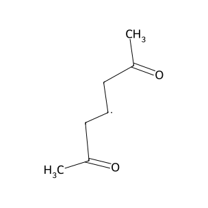 CC(=O)C[CH]CC(C)=O